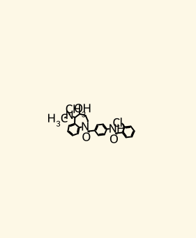 CN(C)C1c2ccccc2N(C(=O)c2ccc(NC(=O)c3ccccc3Cl)cc2)CCC1O